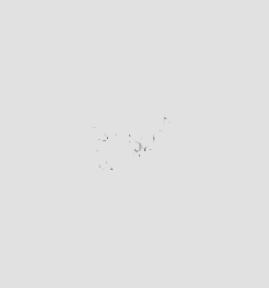 Cc1nn(C)c(C)c1-c1cc(OC2CN(C(=O)N3N=CC[C@H]3c3cc(F)cc(C#N)c3)C2)c(F)cn1